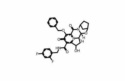 O=C(NCc1ccc(F)cc1F)c1c2n3c(c(OCc4ccccc4)c1=O)C(=O)N1C4CCC(C4)O[C@@H]1[C@H]3CC2O